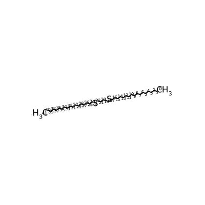 CCCCCCCCCCCCCCCCCCSCCCCSCCCCCCCCCCCCCCCCCC